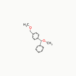 COCc1ccc(C(OC)c2ccccc2)cc1